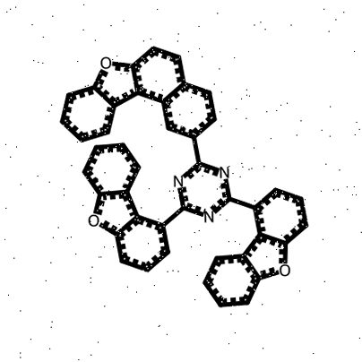 c1ccc2c(c1)oc1cccc(-c3nc(-c4ccc5ccc6oc7ccccc7c6c5c4)nc(-c4cccc5oc6ccccc6c45)n3)c12